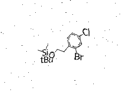 CC(C)(C)[Si](C)(C)OCCc1ccc(Cl)cc1Br